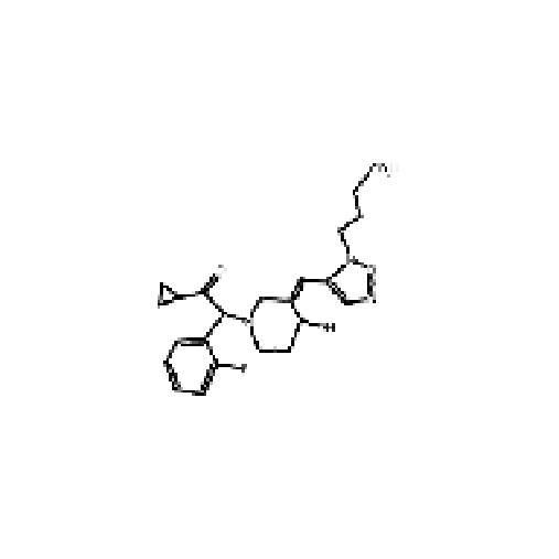 O=C(O)CCCn1nncc1C=C1CN(C(C(=O)C2CC2)c2ccccc2F)CCC1S